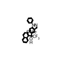 COc1ccc2ccccc2c1C(O)(c1ccc2c(cnn2-c2ccccc2)c1)C(F)(F)F